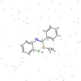 CSC(=Nc1ccccc1F)c1ccccc1